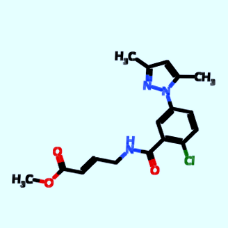 COC(=O)/C=C/CNC(=O)c1cc(-n2nc(C)cc2C)ccc1Cl